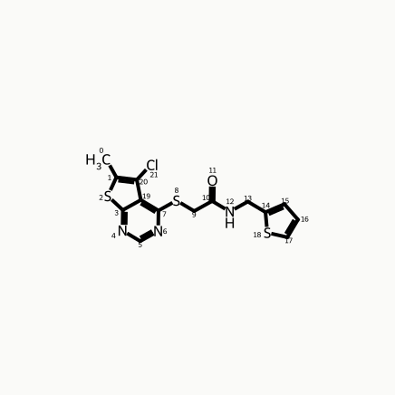 Cc1sc2ncnc(SCC(=O)NCc3cccs3)c2c1Cl